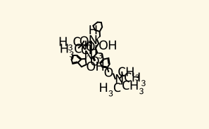 CC(C)N(CCOc1ccc(C[C@H](C[C@H](O)[C@H](CC2CCCCC2)NC(=O)OC(C)(C)C)C(=O)N[C@H]2c3ccccc3C[C@H]2O)cc1)C(C)C